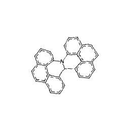 c1cc2c3c(c1)ccc1cccc(c13)N1c3cccc4ccc5cccc(c5c34)C21